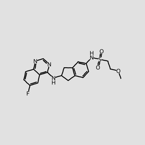 COCCS(=O)(=O)Nc1ccc2c(c1)CC(Nc1ncnc3ccc(F)cc13)C2